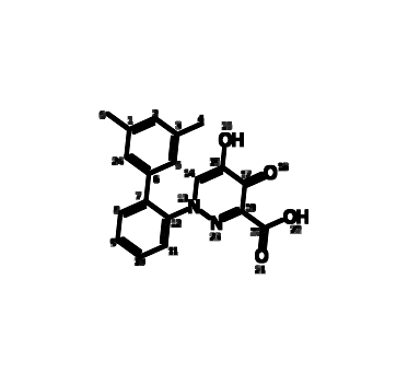 Cc1cc(C)cc(-c2ccccc2-n2cc(O)c(=O)c(C(=O)O)n2)c1